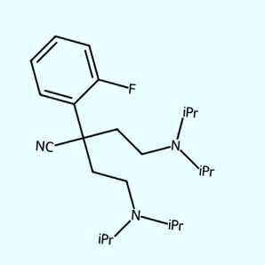 CC(C)N(CCC(C#N)(CCN(C(C)C)C(C)C)c1ccccc1F)C(C)C